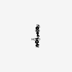 Cn1cc(-c2ccc(C(CO)C(=O)N3CC(=C4CN(S(=O)(=O)c5ccc6ncsc6c5)C4)C3)cc2)cn1